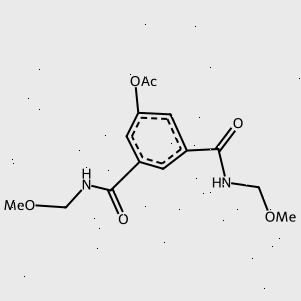 COCNC(=O)c1cc(OC(C)=O)cc(C(=O)NCOC)c1